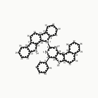 c1ccc(-c2nc(-n3c4ccccc4c4ccc5c6ccccc6sc5c43)nc3c2sc2ccc4ccccc4c23)cc1